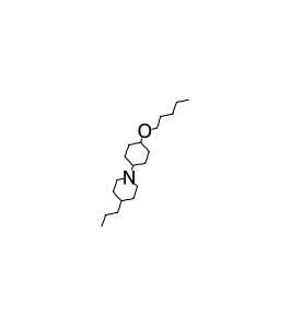 CCCCCOC1CCC(N2CCC(CCC)CC2)CC1